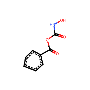 O=C(NO)OC(=O)c1ccccc1